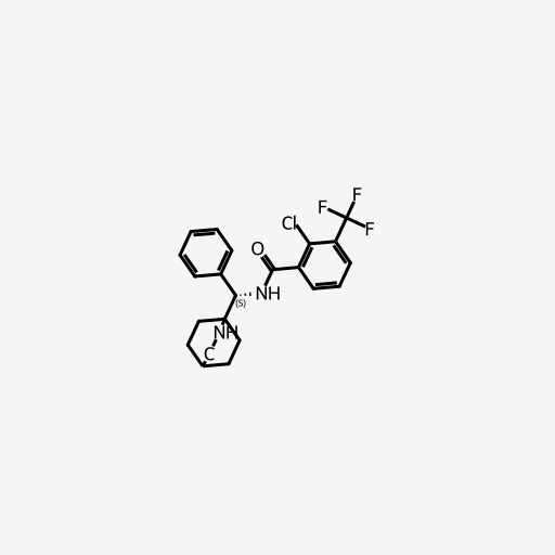 O=C(N[C@@H](c1ccccc1)C12CCC(CC1)CN2)c1cccc(C(F)(F)F)c1Cl